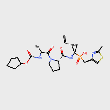 C=C[C@@H]1C[C@]1(NC(=O)[C@@H]1CCCN1C(=O)C(NC(=O)OC1CCCC1)C(C)(C)C)P(=O)(O)Cc1csc(C)n1